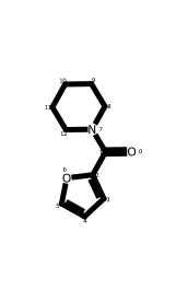 O=C(c1ccco1)N1CCCCC1